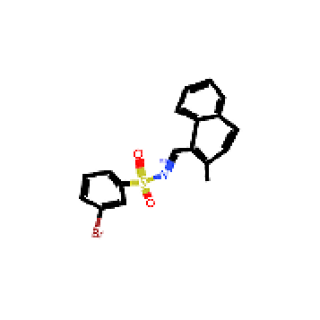 Cc1ccc2ccccc2c1/C=N/S(=O)(=O)c1cccc(Br)c1